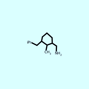 CC(C)CC1CCCC(CN)C1C